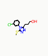 CSc1nnc(CCCO)n1-c1cccc(Cl)c1